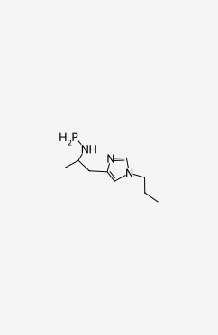 CCCn1cnc(CC(C)NP)c1